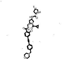 O=C(NC[C@H]1C[C@@H](NC(=O)[C@@H]2C[C@H](F)CN2)CN1C(=O)C1CC1)c1ccc(C#Cc2ccc(CN3CCOCC3)cc2)cc1Cl